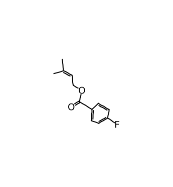 CC(C)=CCOC(=O)c1ccc(F)cc1